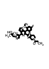 C=CC(=O)N1CCc2nc(-c3nc(-c4cnn(CC(C)(C)O)c4)c4ccsc4c3-c3c(F)cc(F)cc3OC(C)C)sc2C1